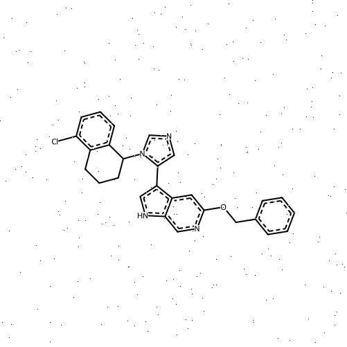 Clc1cccc2c1CCCC2n1cncc1-c1c[nH]c2cnc(OCc3ccccc3)cc12